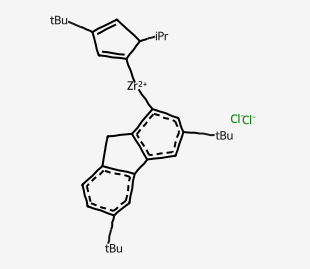 CC(C)C1C=C(C(C)(C)C)C=[C]1[Zr+2][c]1cc(C(C)(C)C)cc2c1Cc1ccc(C(C)(C)C)cc1-2.[Cl-].[Cl-]